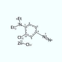 CCN(CC)c1ccc([N+]#N)cc1Cl.[Cl][Zn-]